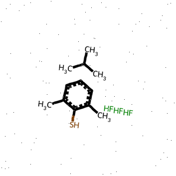 CC(C)C.Cc1cccc(C)c1S.F.F.F